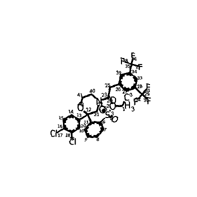 CCOS(=O)(=O)c1ccccc1C1(c2ccc(Cl)c(Cl)c2)CN(C(=O)Cc2cc(C(F)(F)F)cc(C(F)(F)F)c2)CCO1